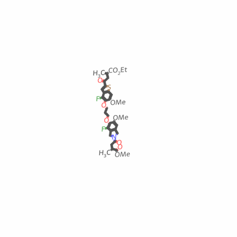 CCOC(=O)C(C)CC(=O)c1cc2c(F)c(OCCCOc3c(OC)cc4c(c3F)CN(C(=O)CC(C)C(=O)OC)C4)c(OC)cc2s1